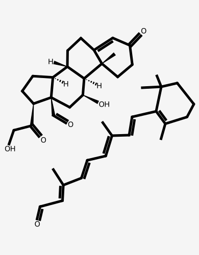 CC1=C(/C=C/C(C)=C/C=C/C(C)=C/C=O)C(C)(C)CCC1.C[C@]12CCC(=O)C=C1CC[C@@H]1[C@@H]2[C@@H](O)C[C@]2(C=O)[C@@H](C(=O)CO)CC[C@@H]12